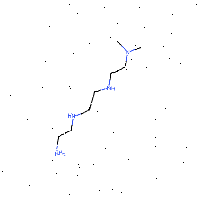 CN(C)CCNCCNCCN